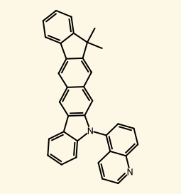 CC1(C)c2ccccc2-c2cc3cc4c5ccccc5n(-c5cccc6ncccc56)c4cc3cc21